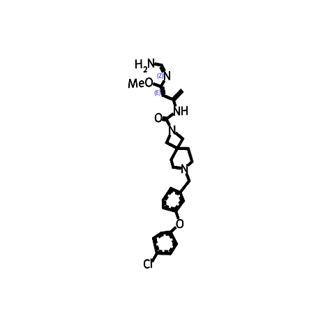 C=C(/C=C(\N=C/N)OC)NC(=O)N1CC2(CCN(Cc3cccc(Oc4ccc(Cl)cc4)c3)CC2)C1